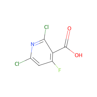 O=C(O)c1c(F)cc(Cl)nc1Cl